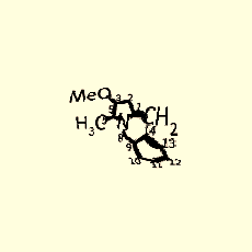 C=C1CC(OC)C(C)N1Cc1ccccc1